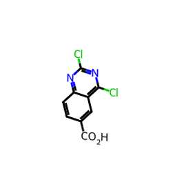 O=C(O)c1ccc2nc(Cl)nc(Cl)c2c1